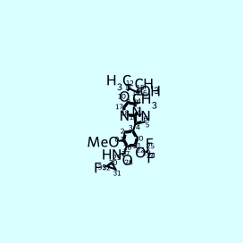 COc1cc(-c2cnn3cc(OC(C)C(C)(C)O)cnc23)cc(OC(F)F)c1C(=O)N[C@@H]1C[C@@H]1F